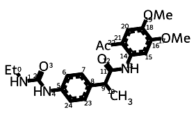 CCNC(=O)Nc1ccc(C(C)C(=O)Nc2cc(OC)c(OC)cc2C(C)=O)cc1